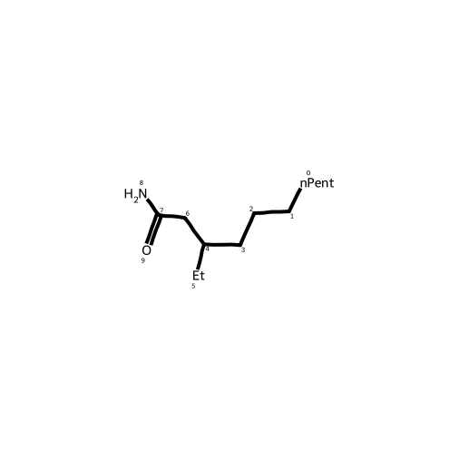 CCCCCCCCC(CC)CC(N)=O